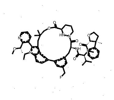 CCn1c(-c2cccnc2[C@H](C)OC)c2c3cc(ccc31)-c1cc(CF)cc(c1)C[C@H](NC(=O)[C@H](C(C)C)N(C)C(=O)[C@@H]1OCC[C@@]1(C)c1ccccc1)C(=O)N1CCC[C@](C=O)(COCC(C)(C)C2)N1